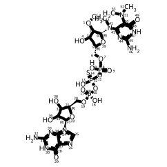 COC1C(O)[C@@H](COP(=O)(O)OP(O)(=S)OP(=O)(O)OC[C@H]2O[C@@H](n3cnc4c(=O)[nH]c(N)nc43)C(O)C2O)O[C@H]1N(C)c1nc(N)[nH]c(=O)c1N(C)C